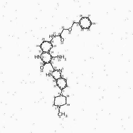 CN1CCN(c2ccc3nc(-c4c(N)c5cc(NC(=O)COCc6ccccc6)ccc5[nH]c4=O)[nH]c3c2)CC1